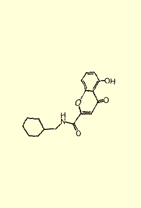 O=C(NCC1CCCCC1)c1cc(=O)c2c(O)cccc2o1